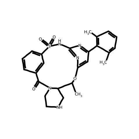 Cc1cccc(C)c1-c1cc2nc(n1)NS(=O)(=O)c1cccc(c1)C(=O)N1CCNCC1C(C)O2